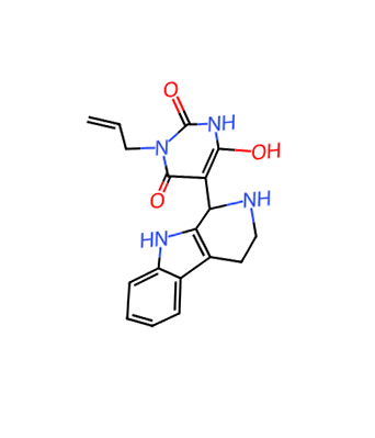 C=CCn1c(=O)[nH]c(O)c(C2NCCc3c2[nH]c2ccccc32)c1=O